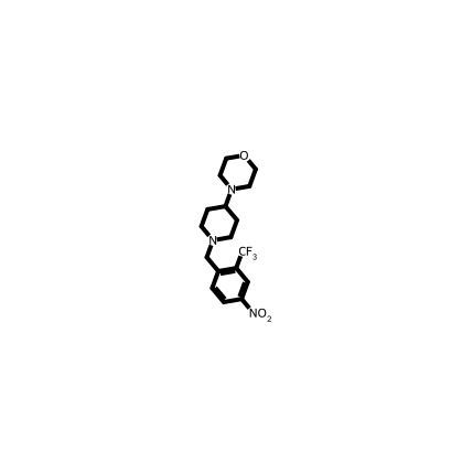 O=[N+]([O-])c1ccc(CN2CCC(N3CCOCC3)CC2)c(C(F)(F)F)c1